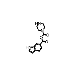 O=C(OC(=O)N1CCNCC1)c1ccc2cc[nH]c2c1